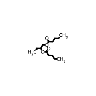 C=CC(COC(=O)CCCC)OC(=O)CCCC